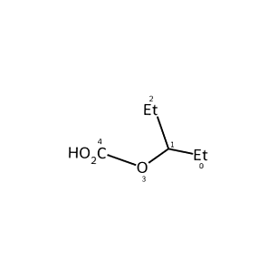 CCC(CC)OC(=O)O